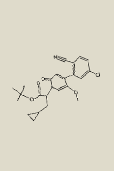 COc1cn(C(CC2CC2)C(=O)OC(C)(C)C)c(=O)cc1-c1cc(Cl)ccc1C#N